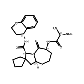 CN[C@@H](N)C(=O)N[C@H]1CCS[C@H]2CC3(CCCC3)[C@@H](C(=O)N[C@@H]3CCOc4ccccc43)N2C1=O